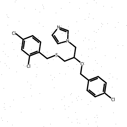 Clc1ccc(COC(CSCc2ccc(Cl)cc2Cl)Cn2ccnc2)cc1